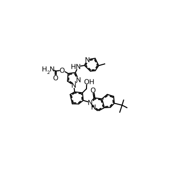 Cc1ccc(Nc2nn(-c3cccc(-n4ncc5cc(C(C)(C)C)ccc5c4=O)c3CO)cc2OC(N)=O)nc1